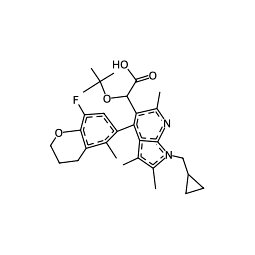 Cc1nc2c(c(C)c(C)n2CC2CC2)c(-c2cc(F)c3c(c2C)CCCO3)c1C(OC(C)(C)C)C(=O)O